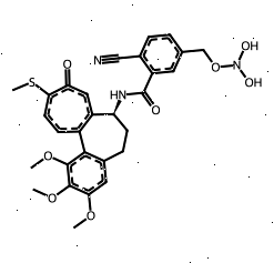 COc1cc2c(c(OC)c1OC)-c1ccc(SC)c(=O)cc1[C@@H](NC(=O)c1cc(CON(O)O)ccc1C#N)CC2